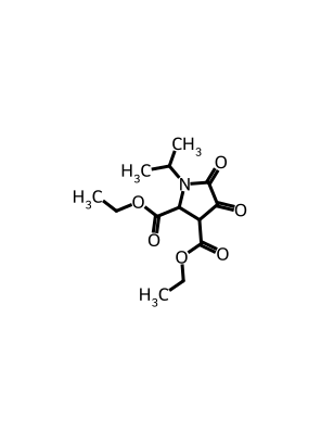 CCOC(=O)C1C(=O)C(=O)N(C(C)C)C1C(=O)OCC